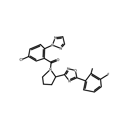 Cc1c(F)cccc1-c1nc(C2CCCN2C(=O)c2cc(Cl)ccc2-n2nccn2)no1